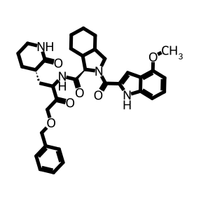 COc1cccc2[nH]c(C(=O)N3CC4CCCCC4[C@@H]3C(=O)NC(C[C@@H]3CCCNC3=O)C(=O)COCc3ccccc3)cc12